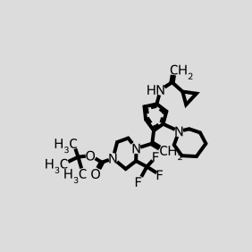 C=C(Nc1ccc(C(=C)N2CCN(C(=O)OC(C)(C)C)CC2C(F)(F)F)c(N2CCCCCC2)c1)C1CC1